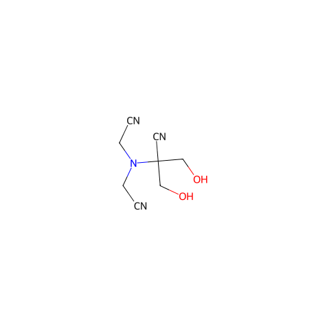 N#CCN(CC#N)C(C#N)(CO)CO